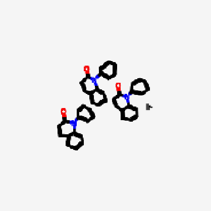 O=c1ccc2ccccc2n1-c1ccccc1.O=c1ccc2ccccc2n1-c1ccccc1.O=c1ccc2ccccc2n1-c1ccccc1.[Ir]